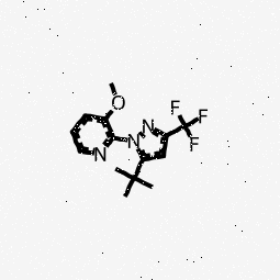 COc1cccnc1-n1nc(C(F)(F)F)cc1C(C)(C)C